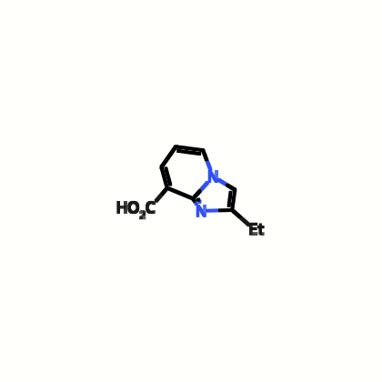 CCc1cn2cccc(C(=O)O)c2n1